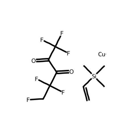 C=C[Si](C)(C)C.O=C(C(=O)C(F)(F)CF)C(F)(F)F.[Cu]